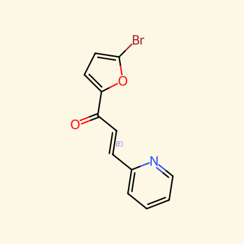 O=C(/C=C/c1ccccn1)c1ccc(Br)o1